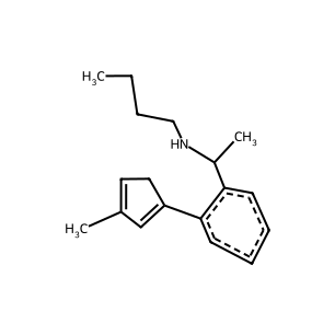 CCCCNC(C)c1ccccc1C1=CC(C)=CC1